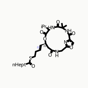 CCCCCCCC(=O)SCC/C=C/[C@@H]1CC(=O)NCc2nc(co2)C(=O)NC(C)(C)C(=O)NC(C(C)C)C(=O)O1